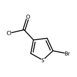 O=C(Cl)c1csc(Br)c1